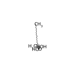 CCCCCCCCCCCCCCCCCCn1cc(O)c(=O)c(O)c1CC